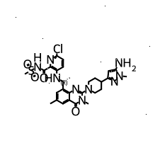 Cc1cc([C@@H](C)Nc2ccc(Cl)nc2C(=O)NS(C)(=O)=O)c2nc(N3CCC(c4cc(N)n(C)n4)CC3)n(C)c(=O)c2c1